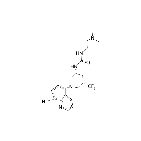 CN(C)CCNC(=O)N[C@@H]1C[C@H](C(F)(F)F)CN(c2ccc(C#N)c3ncccc23)C1